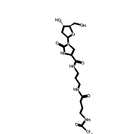 O=C(CCCNC(=O)C(F)(F)F)NCCCNC(=O)C1CN(C2C[C@H](O)[C@@H](CO)O2)C(=O)N1